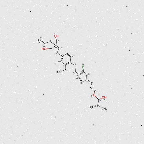 C=C(C)C(O)OCCCc1ccc(CCc2ccc(CCC(CO)(CO)CCC)cc2CC)c(F)c1